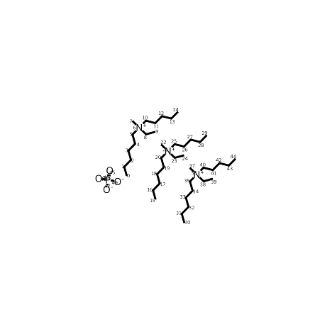 CCCCCC[N+](C)(CC)CCCCC.CCCCCC[N+](C)(CC)CCCCC.CCCCCC[N+](C)(CC)CCCCC.O=P([O-])([O-])[O-]